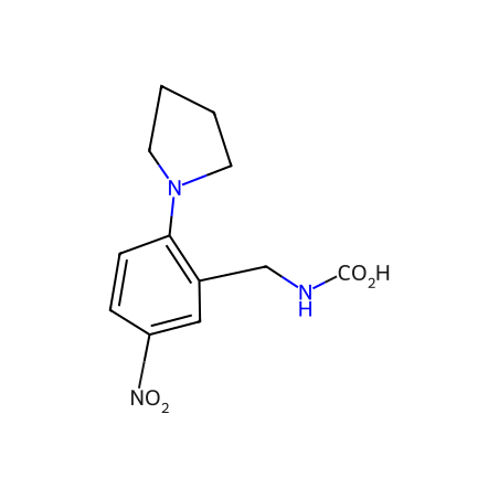 O=C(O)NCc1cc([N+](=O)[O-])ccc1N1CCCC1